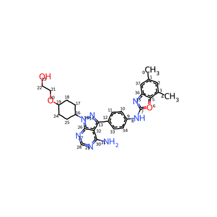 Cc1cc(C)c2oc(Nc3ccc(-c4nn(C5CCC(OCCO)CC5)c5ncnc(N)c45)cc3)nc2c1